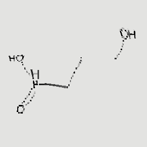 O=[PH](O)CC=CO